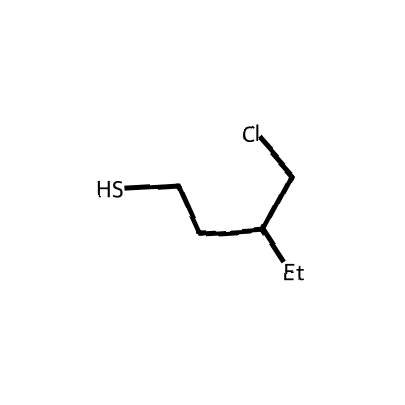 CCC(CCl)CCS